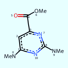 CNc1cc(C(=O)OC)nc(NC)n1